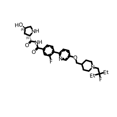 CCC(F)(CC)CN1CCC(COc2ccc(-c3ccc(C(=O)NC(=O)[C@@H]4C[C@@H](O)CN4)cc3F)nc2)CC1